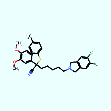 COc1ccc(C(C#N)(CCCCCN2Cc3cc(Cl)c(Cl)cc3C2)Sc2ccc(C)cc2)cc1OC